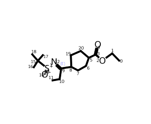 CCOC(=O)C1CCC(/C(CC)=N/[S@+]([O-])C(C)(C)C)CC1